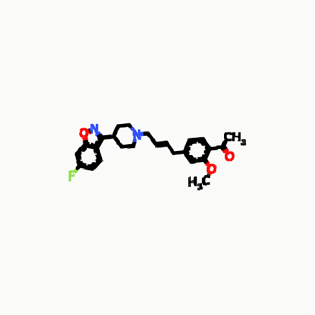 COc1cc(CC=CCN2CCC(c3noc4cc(F)ccc34)CC2)ccc1C(C)=O